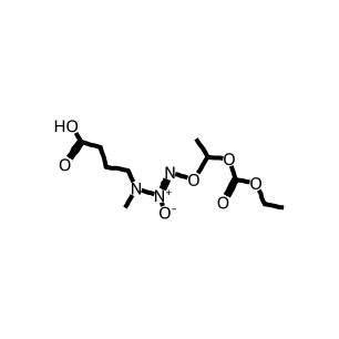 CCOC(=O)OC(C)ON=[N+]([O-])N(C)CCCC(=O)O